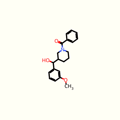 COc1cccc(C(O)C2CCCN(C(=O)c3ccccc3)C2)c1